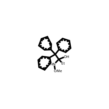 CCC(O)(NOC)C(c1ccccc1)(c1ccccc1)c1ccccc1